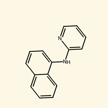 c1ccc(Nc2cccc3ccccc23)nc1